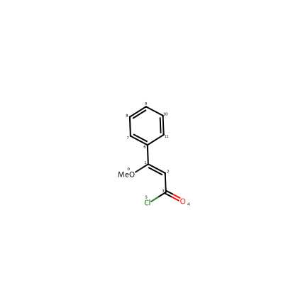 COC(=CC(=O)Cl)c1ccccc1